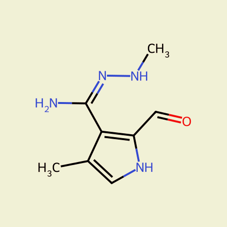 CN/N=C(/N)c1c(C)c[nH]c1C=O